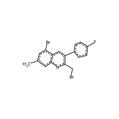 Cc1cc(Br)c2cc(-c3ccc(F)cc3)c(CBr)nc2c1